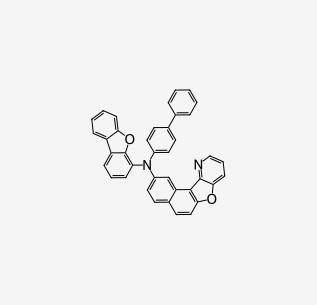 c1ccc(-c2ccc(N(c3ccc4ccc5oc6cccnc6c5c4c3)c3cccc4c3oc3ccccc34)cc2)cc1